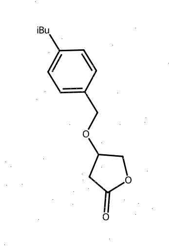 CCC(C)c1ccc(COC2COC(=O)C2)cc1